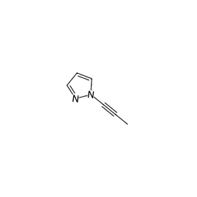 CC#Cn1cccn1